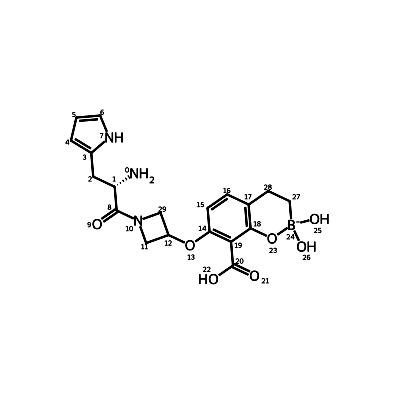 N[C@@H](Cc1ccc[nH]1)C(=O)N1CC(Oc2ccc3c(c2C(=O)O)O[B-](O)(O)CC3)C1